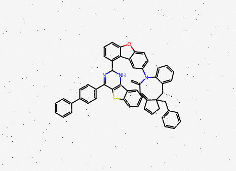 C=C1/C=C2/C=CCC2(Cc2ccccc2)[C@@H](C)c2ccccc2N1c1ccc2oc3cccc(C4N=C(c5ccc(-c6ccccc6)cc5)c5sc6ccccc6c5N4)c3c2c1